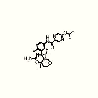 NC1=N[C@](CF)(c2cc(NC(=O)c3cnc(OC(F)F)cn3)ccc2F)[C@H]2COCC[C@H]2O1